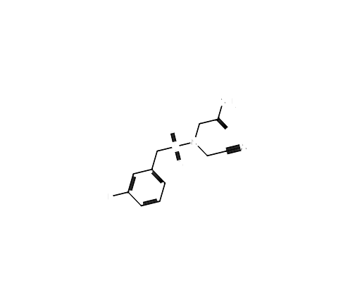 N#CCN(CC(N)=O)S(=O)(=O)Cc1cccc(F)c1